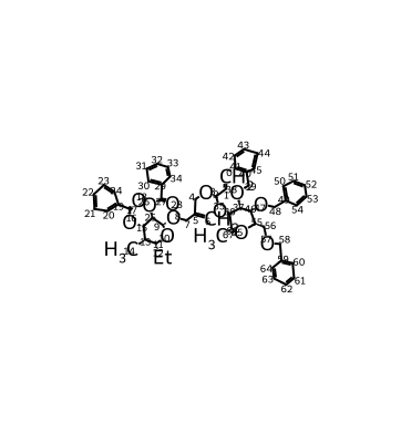 C=C[C@H](OCC(=C)CO[C@@H]1O[C@H](CC)[C@@H](C)[C@H](OC(=O)c2ccccc2)[C@H]1OC(=O)c1ccccc1)O[C@@H]1[C@@H](OCc2ccccc2)[C@H](OCc2ccccc2)[C@@H](COCc2ccccc2)O[C@H]1C